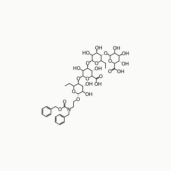 CCC1O[C@@H](O[C@@H]2C(O)[C@H](O[C@@H]3C(CC)O[C@@H](OCCN(Cc4ccccc4)C(=O)OCc4ccccc4)C(O)[C@H]3O)OC(C(=O)O)[C@H]2O)C(O)[C@@H](O)[C@@H]1O[C@@H]1OC(C(=O)O)[C@@H](O)[C@H](O)C1O